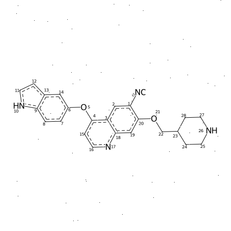 [C-]#[N+]c1cc2c(Oc3ccc4[nH]ccc4c3)ccnc2cc1OCC1CCNCC1